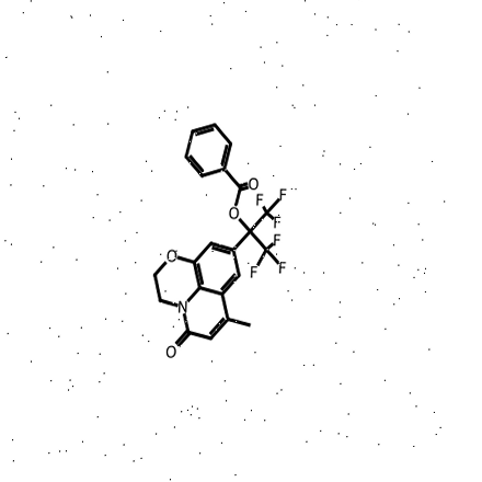 Cc1cc(=O)n2c3c(cc(C(OC(=O)c4ccccc4)(C(F)(F)F)C(F)(F)F)cc13)OCC2